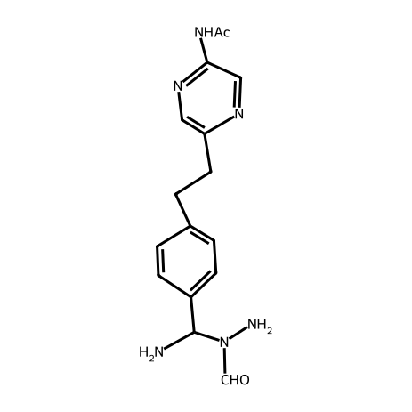 CC(=O)Nc1cnc(CCc2ccc(C(N)N(N)C=O)cc2)cn1